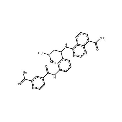 CCC(C)C(=N)c1cc(C(=O)Nc2cccc(C(CN(C)C)Nc3ncnc4c(C(N)=O)cccc34)c2)ccn1